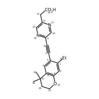 CCc1cc2c(cc1C#Cc1cnc(CC(=O)O)cn1)C(C)(C)CCO2